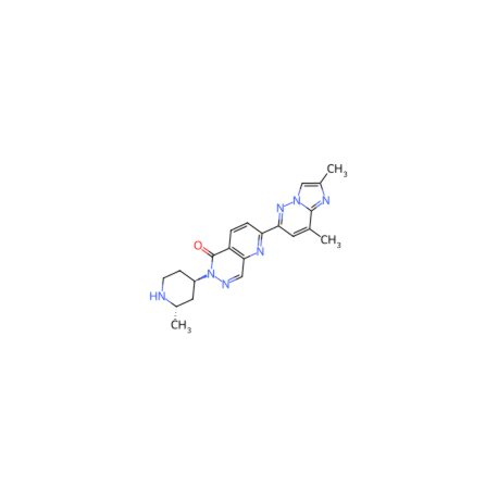 Cc1cn2nc(-c3ccc4c(=O)n([C@@H]5CCN[C@@H](C)C5)ncc4n3)cc(C)c2n1